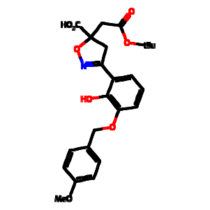 COc1ccc(COc2cccc(C3=NOC(CC(=O)OC(C)(C)C)(C(=O)O)C3)c2O)cc1